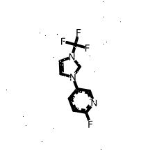 Fc1ccc(N2C=CN(C(F)(F)F)C2)cn1